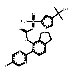 CC(C)(O)c1csc(S(N)(=O)=NC(=O)Nc2c(-c3ncc(F)cn3)ccc3c2CCC3)c1